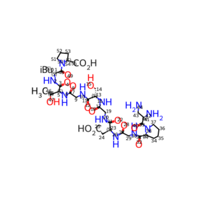 CC[C@H](C)[C@H](NC(=O)[C@@H](NC(=O)CNC(=O)[C@H](CO)NC(=O)CNC(=O)[C@H](CC(=O)O)NC(=O)CNC(=O)[C@@H]1CCCCN1C(=O)[C@@H](N)CN)[C@@H](C)O)C(=O)N1CCC[C@H]1C(=O)O